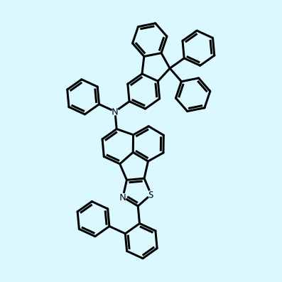 c1ccc(-c2ccccc2-c2nc3c(s2)-c2cccc4c(N(c5ccccc5)c5ccc6c(c5)-c5ccccc5C6(c5ccccc5)c5ccccc5)ccc-3c24)cc1